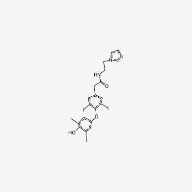 O=C(Cc1cc(I)c(Oc2cc(I)c(O)c(I)c2)c(I)c1)NCCn1ccnc1